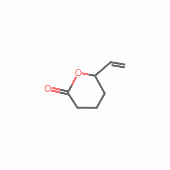 C=CC1CCCC(=O)O1